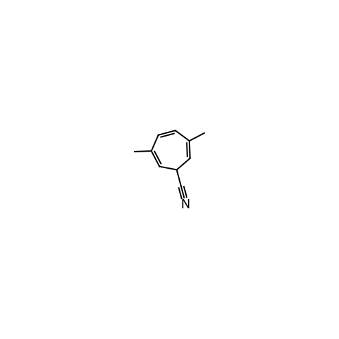 CC1=CC(C#N)C=C(C)C=C1